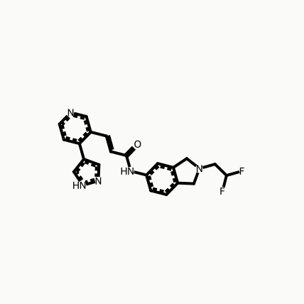 O=C(/C=C/c1cnccc1-c1cn[nH]c1)Nc1ccc2c(c1)CN(CC(F)F)C2